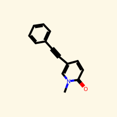 Cn1cc(C#Cc2ccccc2)ccc1=O